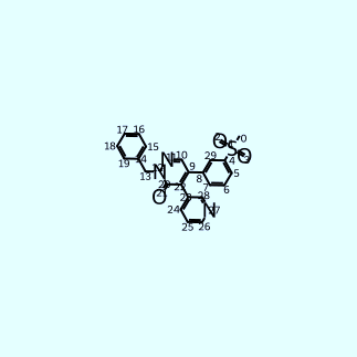 CS(=O)(=O)c1cccc(-c2cnn(Cc3ccccc3)c(=O)c2-c2cccnc2)c1